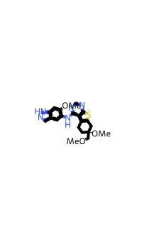 COC[C@@]1(OC)CCc2c(sc3ncnc(Nc4cc5cn[nH]c5cc4OC)c23)C1